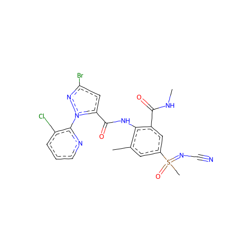 CNC(=O)c1cc(S(C)(=O)=NC#N)cc(C)c1NC(=O)c1cc(Br)nn1-c1ncccc1Cl